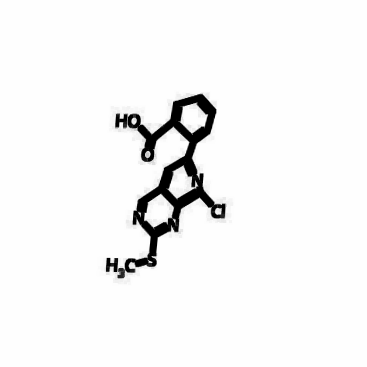 CSc1ncc2cc(-c3ccccc3C(=O)O)nc(Cl)c2n1